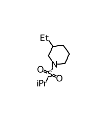 CCC1CCCN(S(=O)(=O)C(C)C)C1